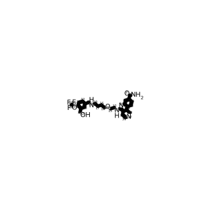 NC(=O)c1ccc2c(c1)nc(NCCOCCCCNCc1ccc(OC(F)(F)F)c(CO)c1)c1ccncc12